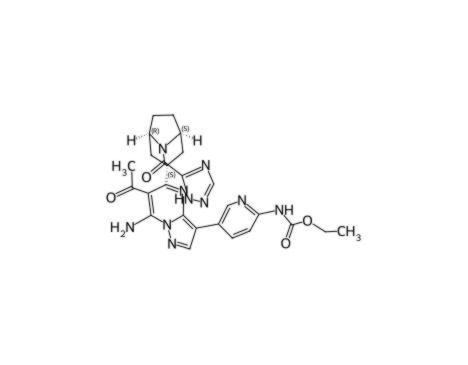 CCOC(=O)Nc1ccc(-c2cnn3c(N)c(C(C)=O)c([C@@H]4C[C@H]5CC[C@@H](C4)N5C(=O)c4ncn[nH]4)nc23)cn1